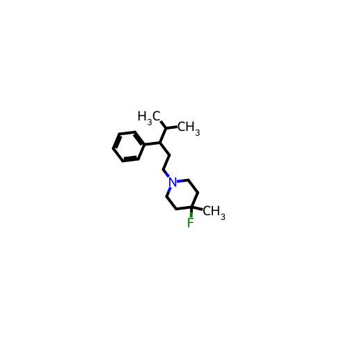 CC(C)C(CCN1CCC(C)(F)CC1)c1ccccc1